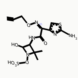 C#CCO/N=C(\C(=O)NC1C(O)N(OS(=O)(=O)O)C1(C)C)c1csc(N)n1